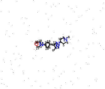 Cc1nn(C2CCN(C)CC2)cc1-c1ccc(N2CCOCC2)cc1